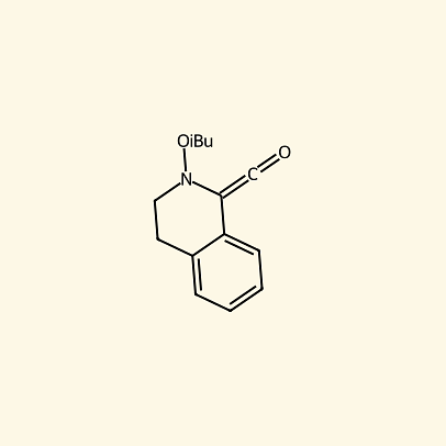 CC(C)CON1CCc2ccccc2C1=C=O